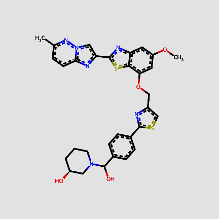 COc1cc(OCc2csc(-c3ccc(C(O)N4CCC[C@H](O)C4)cc3)n2)c2sc(-c3cn4nc(C)ccc4n3)nc2c1